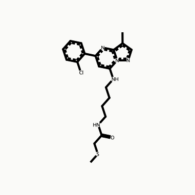 CSCC(=O)NCCCCNc1cc(-c2ccccc2Cl)nc2c(C)cnn12